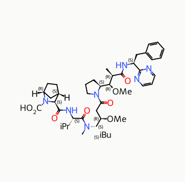 CC[C@H](C)[C@@H]([C@@H](CC(=O)N1CCC[C@H]1[C@H](OC)[C@@H](C)C(=O)N[C@@H](Cc1ccccc1)c1ncccn1)OC)N(C)C(=O)[C@@H](NC(=O)[C@@H]1[C@H]2CC[C@H](C2)N1C(=O)O)C(C)C